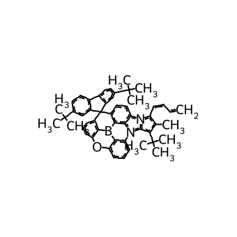 C=C/C=C\c1c(C)c(C(C)(C)C)c2n3c4c5c(ccc4n12)C1(c2cc(C(C)(C)C)ccc2-c2ccc(C(C)(C)C)cc21)c1cccc2c1B5c1c(cccc1-3)O2